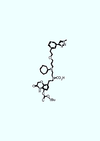 Cn1cc(-c2cccc(CCOCCCN(CCN(CCc3ccc(OC(=O)OC(C)(C)C)c4c3OCC(=O)N4)C(=O)O)C3CCCCCC3)c2)nn1